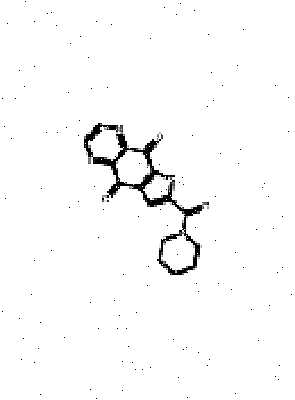 O=C1c2cc(C(=O)N3CCCCC3)sc2C(=O)c2nccnc21